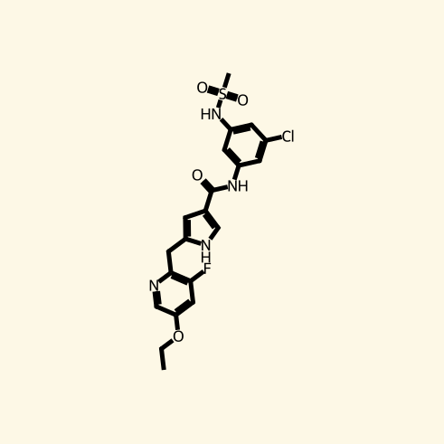 CCOc1cnc(Cc2cc(C(=O)Nc3cc(Cl)cc(NS(C)(=O)=O)c3)c[nH]2)c(F)c1